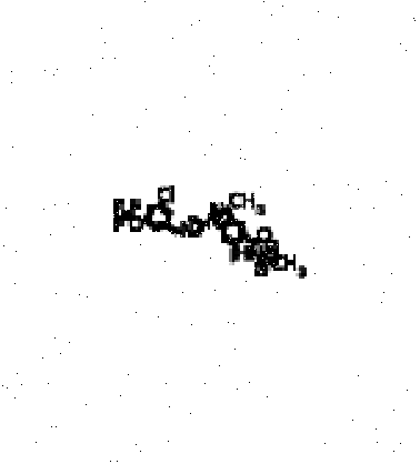 Cc1nn(C2CN(Cc3cc(Cl)cc(OC(F)(F)F)c3)C2)c2cc(F)c(C(=O)NS(C)(=O)=O)cc12